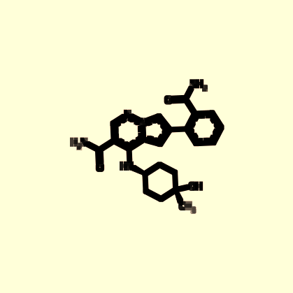 C[C@]1(O)CC[C@H](Nc2c(C(N)=O)cnn3cc(-c4ccccc4C(N)=O)cc23)CC1